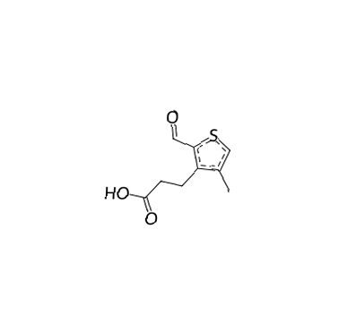 Cc1csc(C=O)c1CCC(=O)O